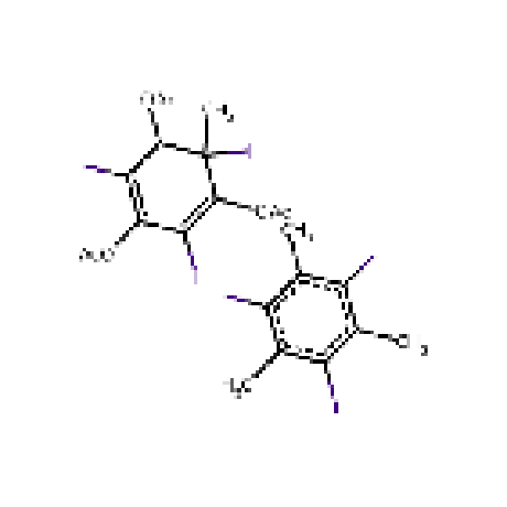 CC(=O)OC1=C(I)C(OC(C)=O)C(C)(I)C(OC(C)=O)=C1I.Cc1c(I)c(C)c(I)c(C)c1I